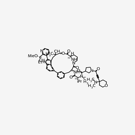 CCn1c(-c2cccnc2[C@H](C)OC)c2c3cc(ccc31)-c1cccc(c1)C[C@H](NC(=O)[C@H](C(C)C)N(C)C(=O)C1CCN(C(=O)C#CC3(N(C)C)CCOCC3)C1)C(=O)N1CCC[C@H](N1)C(=O)OCC(C)(C)C2